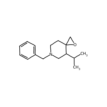 CC(C)C1CN(Cc2ccccc2)CCC12CO2